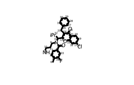 Cc1ccc(C(=O)N(CCCN)C(c2oc3cc(Cl)ccc3c(=O)c2Cc2ccccc2)C(C)C)cc1F